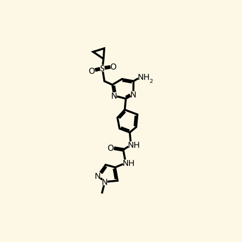 Cn1cc(NC(=O)Nc2ccc(-c3nc(N)cc(CS(=O)(=O)C4CC4)n3)cc2)cn1